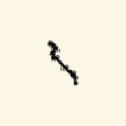 Cc1ccc(NC(=O)C2(c3ccc4c(c3)OC(F)(F)O4)CC2)nc1-c1cccc(C(=O)NCCOCCOCCC(=O)NCCc2ccc(N3CCN(C(=O)/C=C/CN(C)C)CC3=O)s2)c1